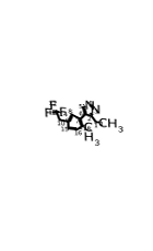 CCC1=N[N]C=C1c1cc(CC(F)(F)F)ccc1C